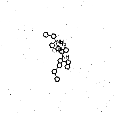 CC1C=CC=C(C(N)c2cccc(C3=CCCC=C3)c2)C1C(C)(C)Cc1ccc(Nc2ccc3cc(-c4cccc(-c5ccccc5)c4)ccc3c2-c2cccc3ccccc23)c2ccccc12